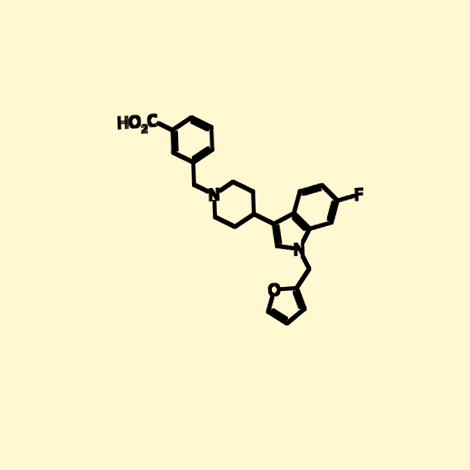 O=C(O)c1cccc(CN2CCC(c3cn(Cc4ccco4)c4cc(F)ccc34)CC2)c1